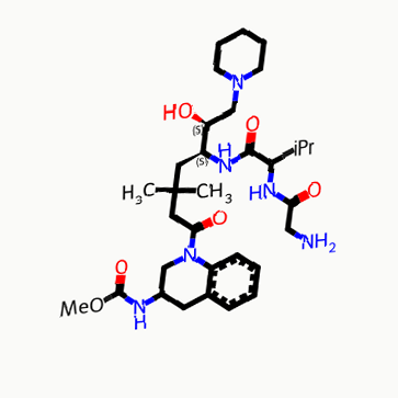 COC(=O)NC1Cc2ccccc2N(C(=O)CC(C)(C)C[C@H](NC(=O)C(NC(=O)CN)C(C)C)[C@@H](O)CN2CCCCC2)C1